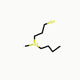 [CH2][SH](CCCC)CCCS